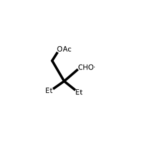 CCC([C]=O)(CC)COC(C)=O